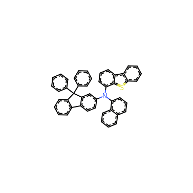 c1ccc(C2(c3ccccc3)c3ccccc3-c3ccc(N(c4cccc5ccccc45)c4cccc5c4sc4ccccc45)cc32)cc1